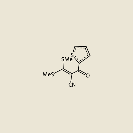 CSC(SC)=C(C#N)C(=O)c1cccs1